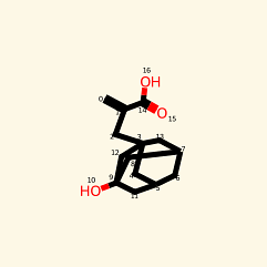 C=C(CC12CC3CC(CC(O)(C3)C1)C2)C(=O)O